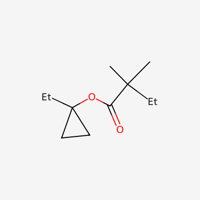 CCC1(OC(=O)C(C)(C)CC)CC1